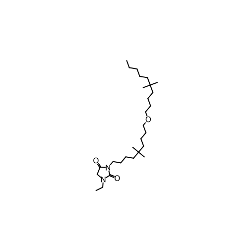 CCCCCC(C)(C)CCCCOCCCCC(C)(C)CCCCN1C(=O)CN(CC)C1=O